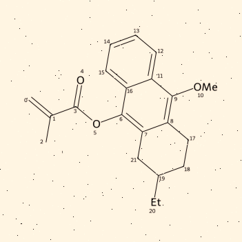 C=C(C)C(=O)Oc1c2c(c(OC)c3ccccc13)CCC(CC)C2